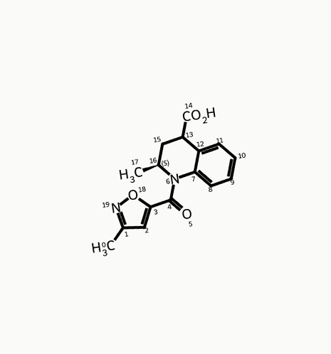 Cc1cc(C(=O)N2c3ccccc3C(C(=O)O)C[C@@H]2C)on1